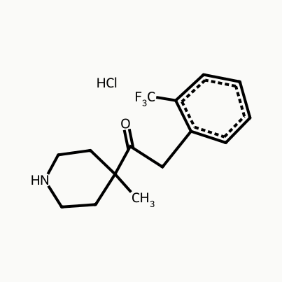 CC1(C(=O)Cc2ccccc2C(F)(F)F)CCNCC1.Cl